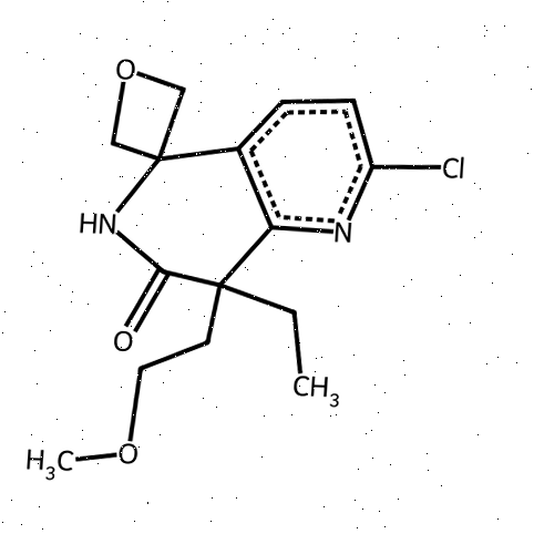 CCC1(CCOC)C(=O)NC2(COC2)c2ccc(Cl)nc21